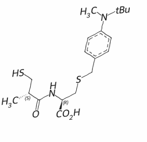 C[C@H](CS)C(=O)N[C@@H](CSCc1ccc(N(C)C(C)(C)C)cc1)C(=O)O